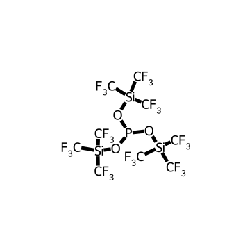 FC(F)(F)[Si](OP(O[Si](C(F)(F)F)(C(F)(F)F)C(F)(F)F)O[Si](C(F)(F)F)(C(F)(F)F)C(F)(F)F)(C(F)(F)F)C(F)(F)F